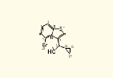 OC(c1csc2cccc(Br)c12)C1CC1